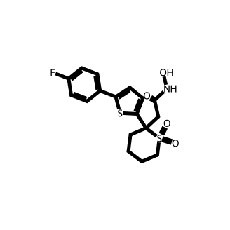 O=C(CC1(c2ccc(-c3ccc(F)cc3)s2)CCCCS1(=O)=O)NO